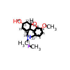 CI.COc1ccc2c3c1O[C@H]1C[C@@H](O)C=C[C@@]31CCN(C)C2